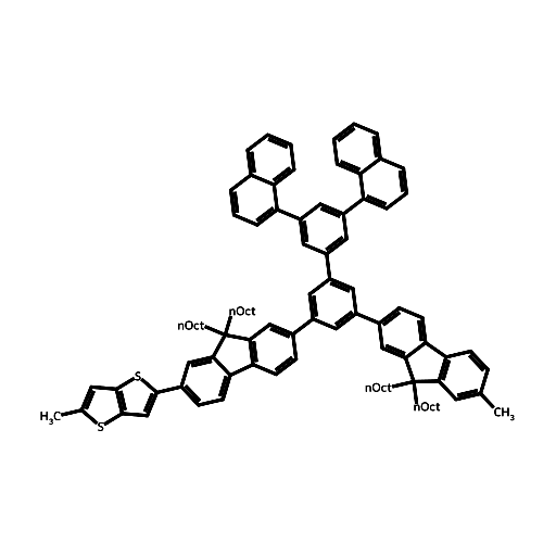 CCCCCCCCC1(CCCCCCCC)c2cc(C)ccc2-c2ccc(-c3cc(-c4cc(-c5cccc6ccccc56)cc(-c5cccc6ccccc56)c4)cc(-c4ccc5c(c4)C(CCCCCCCC)(CCCCCCCC)c4cc(-c6cc7sc(C)cc7s6)ccc4-5)c3)cc21